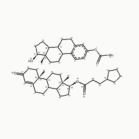 CCCCC(=O)Oc1ccc2c(c1)CCC1C2CC[C@@]2(C)C1CC[C@@H]2O.C[C@]12CCC(=O)C=C1CCC1C2CC[C@@]2(C)C1CC[C@@H]2OC(=O)CCC1CCCC1